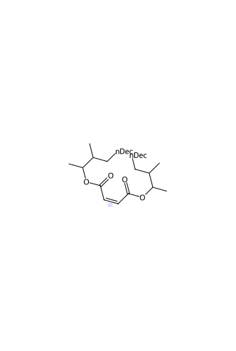 CCCCCCCCCCCC(C)C(C)OC(=O)/C=C\C(=O)OC(C)C(C)CCCCCCCCCCC